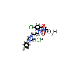 CC(C)(C(=O)O)n1c(=O)c2ccc(Cl)cc2n(CCCCN2CCN(c3ccc(F)cc3)CC2)c1=O.Cl